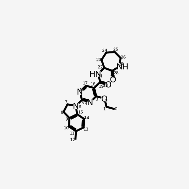 CCOc1nc(N2CCc3cc(C)ccc32)ncc1C(=O)NC1CCCCNC1=O